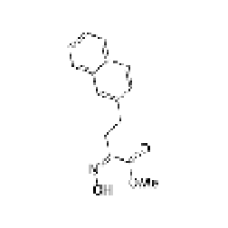 COC(=O)/C(CCc1ccc2ccccc2c1)=N\O